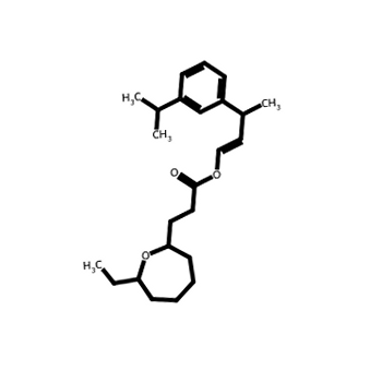 CCC1CCCCC(CCC(=O)OC=CC(C)c2cccc(C(C)C)c2)O1